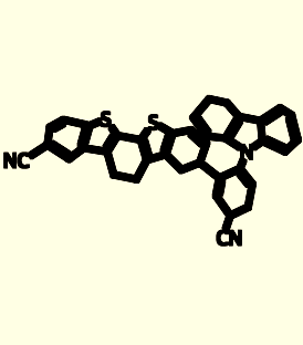 N#Cc1ccc2sc3c(c2c1)CCc1c-3sc2c1CC(C1=CC(C#N)CC=C1n1c3c(c4ccccc41)CCC=C3)C=C2